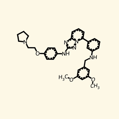 COc1cc(CNc2cccc(-c3cccc4nc(Nc5ccc(OCCN6CCCC6)cc5)nn34)c2)cc(OC)c1